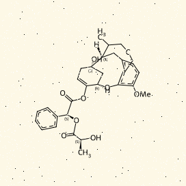 COc1ccc2c3c1O[C@@H]1C[C@@](O)(CC=C1OC(=O)[C@@H](OC(=O)[C@H](C)O)c1ccccc1)[C@@H](C2)C(C)CCC3